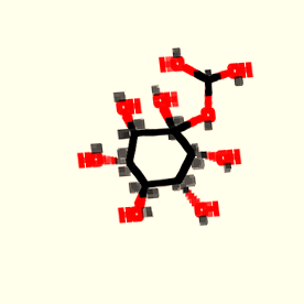 OC(O)O[C@]1(O)[C@H](O)[C@H](O)[C@@H](O)[C@H](O)[C@H]1O